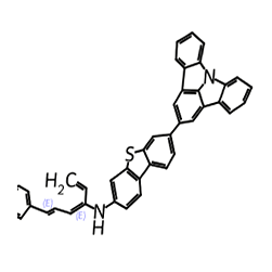 C=C/C(=C\C=C\c1ccccc1)Nc1ccc2c(c1)sc1cc(-c3cc4c5ccccc5n5c6ccccc6c(c3)c45)ccc12